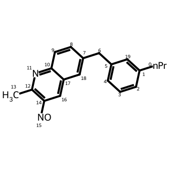 CCCc1cccc(Cc2ccc3nc(C)c(N=O)cc3c2)c1